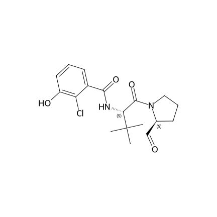 CC(C)(C)[C@H](NC(=O)c1cccc(O)c1Cl)C(=O)N1CCC[C@H]1C=O